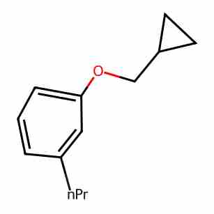 C[CH]Cc1cccc(OCC2CC2)c1